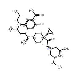 C=C(C)C/C(=C\C(=O)[C@@]1(C2CC2)CC[C@@H](C(=C)CC[C@H](C)N(CCC)c2ccc(F)c(C(=O)O)c2)CO1)CCCC